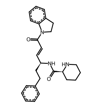 O=C(N[C@H](C=CC(=O)N1CCc2ccccc21)CCc1ccccc1)[C@@H]1CCCCN1